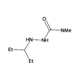 CCC(CC)NNC(=O)NC